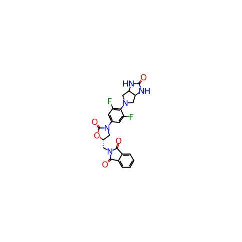 O=C1NC2CN(c3c(F)cc(N4C[C@H](CN5C(=O)c6ccccc6C5=O)OC4=O)cc3F)CC2N1